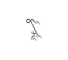 CC/C=C\C1(CCCCCCCC(CC)C(=O)OCC)C=CCC=C1